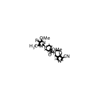 COc1nc(N2CCC(OC)(C(=O)N3CCOc4c(C#N)cncc4C3)CC2)nc(C)c1F